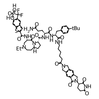 CCN1CC[C@H]2CC[C@@H](C(=O)N[C@@H](CCC(N)=O)C(=O)N[C@@H](Cc3ccc(C(C)(C)C)cc3)C(=O)NCCCCCC(=O)N3Cc4cc5c(cc4C3)C(=O)N(C3CCC(=O)NC3=O)C5)N2C(=O)[C@@H](NC(=O)c2cc3cc(C(F)(F)P(=O)(O)O)ccc3s2)C1